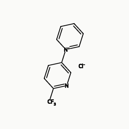 FC(F)(F)c1ccc(-[n+]2ccccc2)cn1.[Cl-]